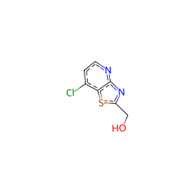 OCc1nc2nccc(Cl)c2s1